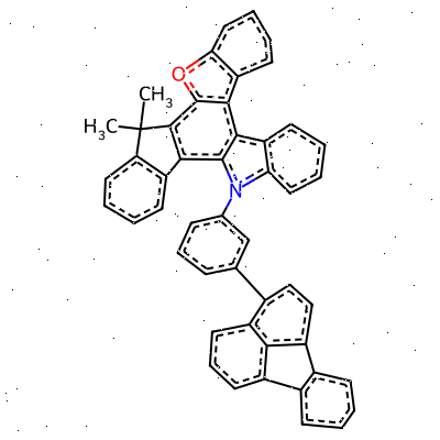 CC1(C)c2ccccc2-c2c1c1oc3ccccc3c1c1c3ccccc3n(-c3cccc(-c4ccc5c6c(cccc46)-c4ccccc4-5)c3)c21